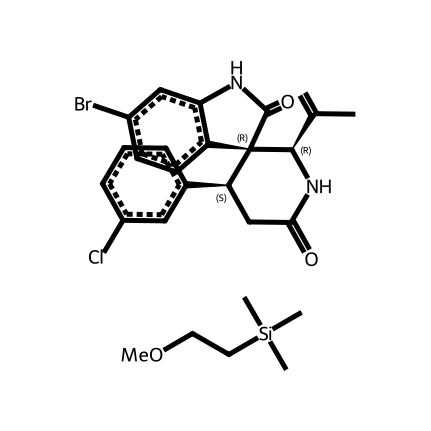 C=C(C)[C@H]1NC(=O)C[C@@H](c2cccc(Cl)c2)[C@]12C(=O)Nc1cc(Br)ccc12.COCC[Si](C)(C)C